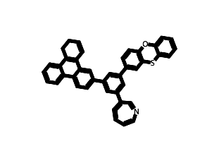 C1=CC=CN=CC=1c1cc(-c2ccc3c(c2)Sc2ccccc2O3)cc(-c2ccc3c(c2)c2c(c4ccccc43)CCC=C2)c1